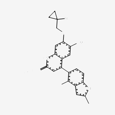 COc1cc2c(-c3ccc4[nH]c(C)cc4c3F)cc(=O)[nH]c2cc1OCC1(N)CC1.Cl.Cl